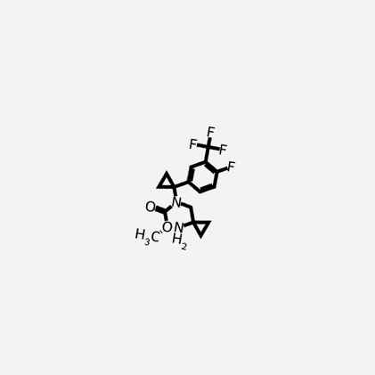 COC(=O)N(CC1(N)CC1)C1(c2ccc(F)c(C(F)(F)F)c2)CC1